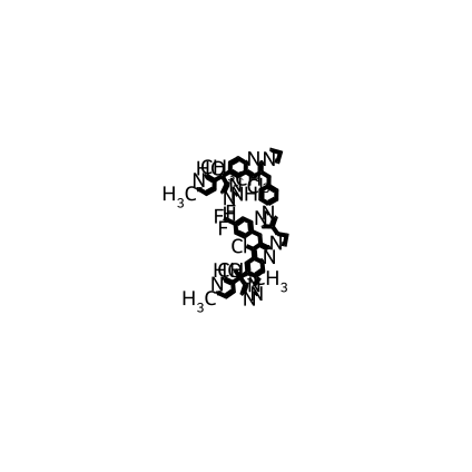 Cc1ccc(C(O)(C2=CNNN2C)c2ccc3nc(N4CCC4)c(Cc4ccc(-n5cc(C6CCN6c6nc7ccc(C(O)(c8ccc(C)nc8C)c8cnnn8C)cc7c(Cl)c6Cc6ccc(C(F)(F)F)cc6)cn5)cc4)c(Cl)c3c2)c(C)n1